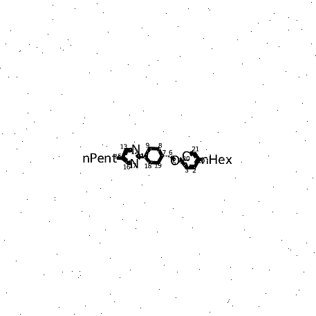 CCCCCCc1ccc(OC[C@H]2CC[C@H](c3ncc(CCCCC)cn3)CC2)cc1